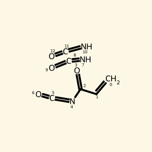 C=CC(=O)N=C=O.N=C=O.N=C=O